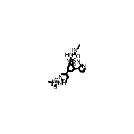 CCNC(=O)Nc1nc2cc(-c3cnc(NS(=O)(=O)C(C)(C)C)nc3)cc(-c3cccnc3N)c2s1